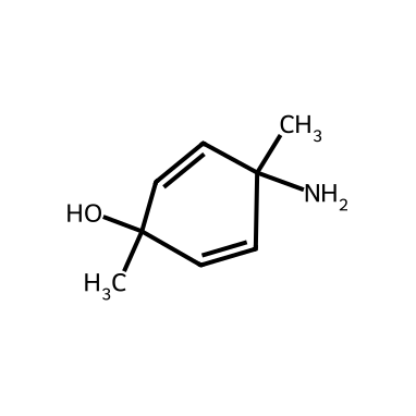 CC1(N)C=CC(C)(O)C=C1